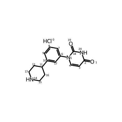 Cl.O=c1ccn(-c2cccc(C3CCNCC3)c2)c(=O)[nH]1